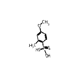 COc1ccc(P(O)(=S)S)c(C)c1